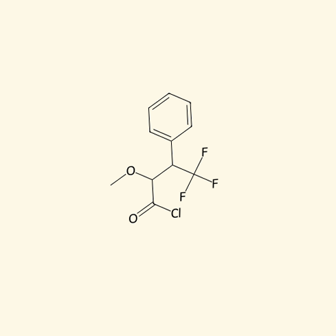 COC(C(=O)Cl)C(c1ccccc1)C(F)(F)F